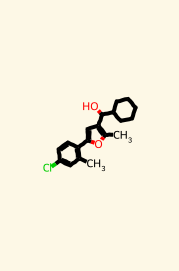 Cc1cc(Cl)ccc1-c1cc(C(O)C2CCCCC2)c(C)o1